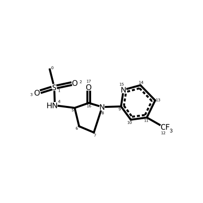 CS(=O)(=O)NC1CCN(c2cc(C(F)(F)F)ccn2)C1=O